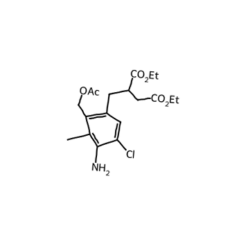 CCOC(=O)CC(Cc1cc(Cl)c(N)c(C)c1COC(C)=O)C(=O)OCC